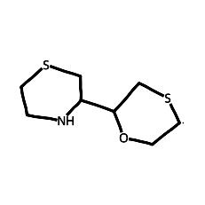 [CH]1COC(C2CSCCN2)CS1